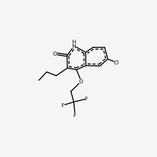 CCCc1c(OCC(F)(F)F)c2cc(Cl)ccc2[nH]c1=O